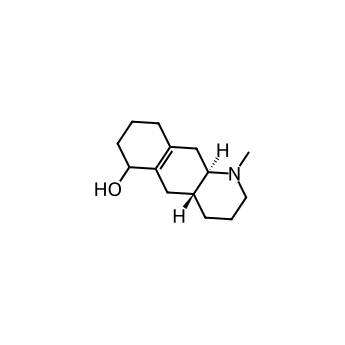 CN1CCC[C@@H]2CC3=C(CCCC3O)C[C@H]21